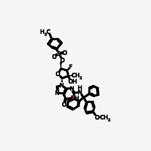 COc1ccc(C(Nc2nc3c(ncn3[C@@H]3O[C@H](COS(=O)(=O)c4ccc(C)cc4)[C@@H](F)[C@@]3(C)O)c(=O)[nH]2)(c2ccccc2)c2ccccc2)cc1